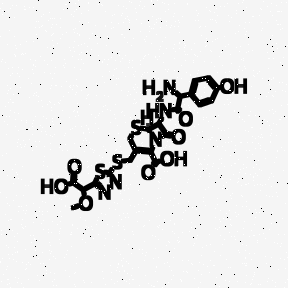 COC(C(=O)O)c1nnc(SCC2=C(C(=O)O)N3C(=O)C(NC(=O)C(N)c4ccc(O)cc4)[C@@H]3SC2)s1